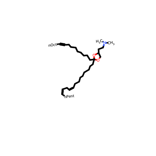 CCCCC/C=C\C/C=C\CCCCCCCCC1(CCCCCCCCC#CCCCCCCCC)OCC(CCN(C)C)O1